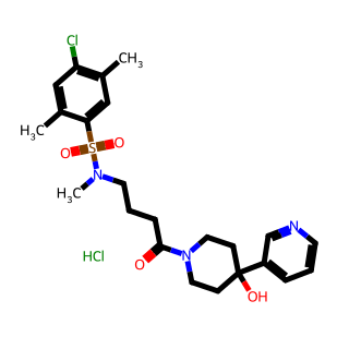 Cc1cc(S(=O)(=O)N(C)CCCC(=O)N2CCC(O)(c3cccnc3)CC2)c(C)cc1Cl.Cl